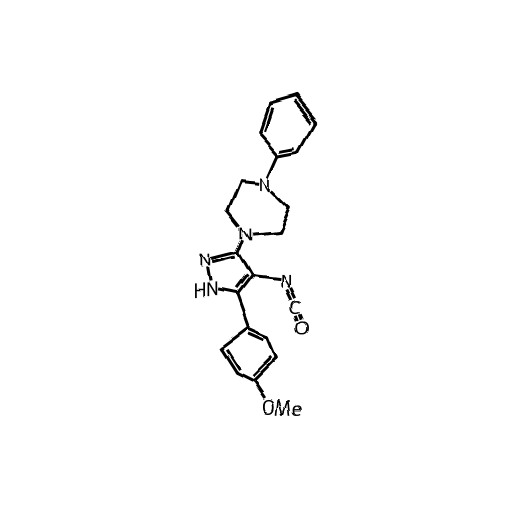 COc1ccc(-c2[nH]nc(N3CCN(c4ccccc4)CC3)c2N=C=O)cc1